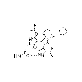 CNC(=O)O[C@@H]1COc2c(-c3nc4n(Cc5ccccc5)cccc-4c3-c3cn(C)nc3OC(F)F)c(C(F)F)nn2C1